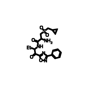 CCC(NC(=O)C(N)CS(=O)(=O)CC1CC1)C(=O)c1nc(-c2ccccc2)no1